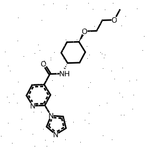 COCCO[C@H]1CC[C@H](NC(=O)c2ccnc(-n3ccnc3)c2)CC1